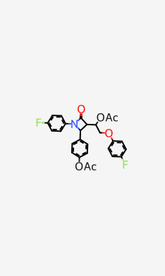 CC(=O)Oc1ccc(C2C(C(COc3ccc(F)cc3)OC(C)=O)C(=O)N2c2ccc(F)cc2)cc1